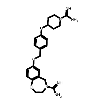 N=C(N)N1CCC(Oc2ccc(COc3ccc4c(c3)CN(C(=N)N)CCO4)cc2)CC1